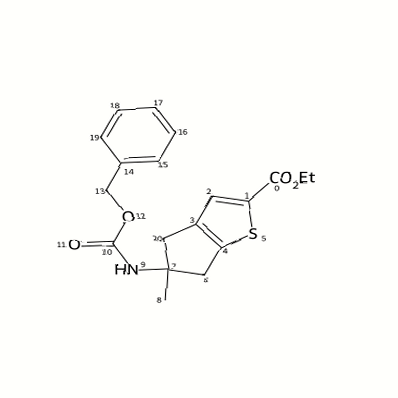 CCOC(=O)c1cc2c(s1)CC(C)(NC(=O)OCc1ccccc1)C2